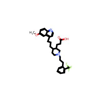 COc1ccc2nccc(CCCC3CCN(CCCc4ccccc4C(F)(F)F)CC3CCC(=O)O)c2c1